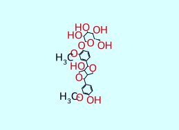 COc1cc(C2OCC3(O)C(c4ccc(O[C@@H]5O[C@H](CO)[C@@H](O)[C@H](O)[C@H]5O)c(OC)c4)OCC23)ccc1O